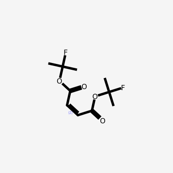 CC(C)(F)OC(=O)/C=C\C(=O)OC(C)(C)F